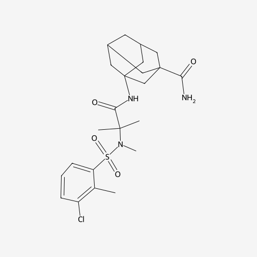 Cc1c(Cl)cccc1S(=O)(=O)N(C)C(C)(C)C(=O)NC12CC3CC(C1)CC(C(N)=O)(C3)C2